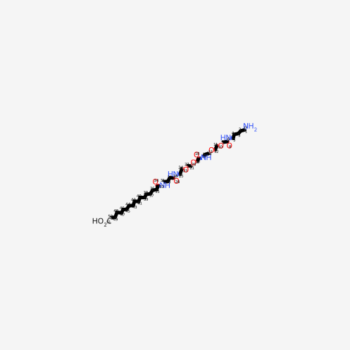 NCCCCCNC(=O)COCCOCCNC(=O)COCCOCCNC(=O)CCCNC(=O)CCCCCCCCCCCCCCCCC(=O)O